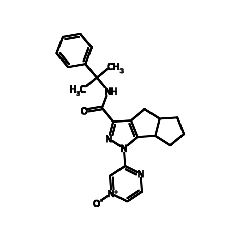 CC(C)(NC(=O)c1nn(-c2c[n+]([O-])ccn2)c2c1CC1CCCC21)c1ccccc1